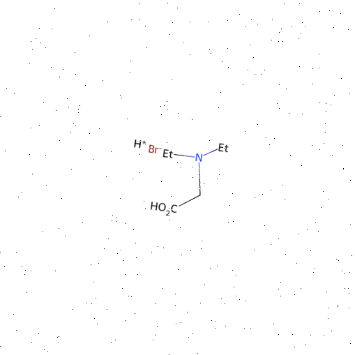 CCN(CC)CC(=O)O.[Br-].[H+]